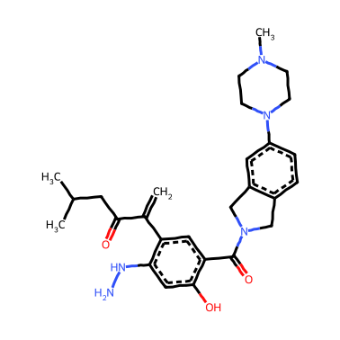 C=C(C(=O)CC(C)C)c1cc(C(=O)N2Cc3ccc(N4CCN(C)CC4)cc3C2)c(O)cc1NN